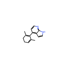 CC1=CCCC(C)=C1c1ccnc2[nH]ccc12